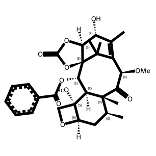 CO[C@H]1C(=O)[C@@]2(C)[C@H]([C@H](OC(=O)c3ccccc3)[C@]34OC(=O)O[C@H]3[C@H](O)C(C)=C1C4(C)C)[C@]1(OC(C)=O)CO[C@@H]1C[C@@H]2C